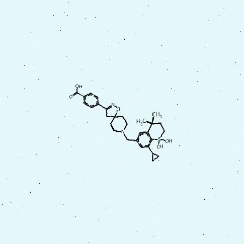 CC1(C)CCS(O)(O)c2c(C3CC3)cc(CN3CCC4(CC3)CC(c3ccc(C(=O)O)cc3)=NO4)cc21